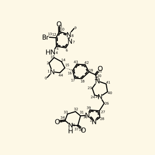 CN1C[C@H](Nc2cnn(C)c(=O)c2Br)C[C@H](c2ccc(C(=O)N3CCN(Cc4cnn(C5CCC(=O)NC5=O)c4)CC3)cc2)C1